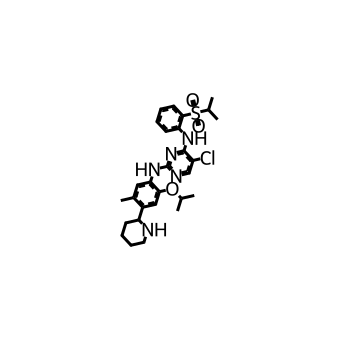 Cc1cc(Nc2ncc(Cl)c(Nc3ccccc3S(=O)(=O)C(C)C)n2)c(OC(C)C)cc1C1CCCCN1